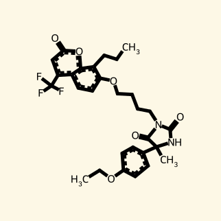 CCCc1c(OCCCCN2C(=O)NC(C)(c3ccc(OCC)cc3)C2=O)ccc2c(C(F)(F)F)cc(=O)oc12